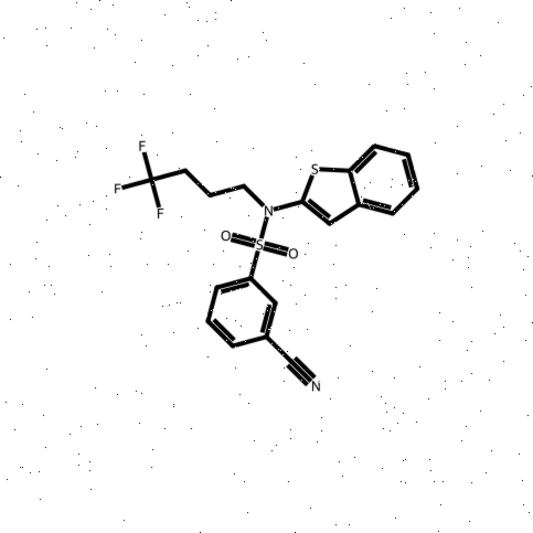 N#Cc1cccc(S(=O)(=O)N(CCCC(F)(F)F)c2cc3ccccc3s2)c1